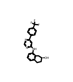 O[C@H]1CCc2cccc(Nc3cc(-c4ccc(C(F)(F)F)cc4)ncn3)c2C1